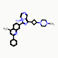 Cc1cc(-c2ccccc2)nc2cc(C3=NC(C4CC(N5CCN(C)CC5)C4)=C4C=NC=C[N+]34N)ccc12